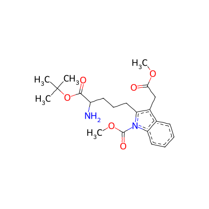 COC(=O)Cc1c(CCCC(N)C(=O)OC(C)(C)C)n(C(=O)OC)c2ccccc12